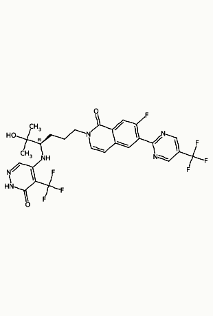 CC(C)(O)[C@@H](CCCn1ccc2cc(-c3ncc(C(F)(F)F)cn3)c(F)cc2c1=O)Nc1cn[nH]c(=O)c1C(F)(F)F